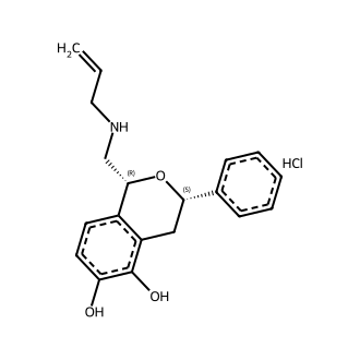 C=CCNC[C@@H]1O[C@H](c2ccccc2)Cc2c1ccc(O)c2O.Cl